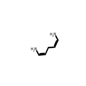 N/C=C\C/C=C\N